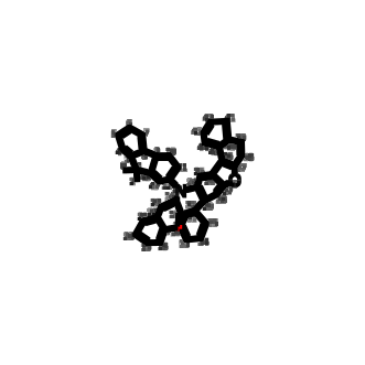 CC1(C)c2ccccc2-c2ccc(N(c3ccc4ccccc4c3)c3cc4c(cc3-c3ccccc3)oc3ccc5ccccc5c34)cc21